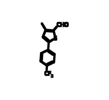 Cc1cc(-c2ccc(C(F)(F)F)cc2)sc1C=O